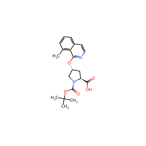 Cc1cccc2ccnc(O[C@@H]3C[C@@H](C(=O)O)N(C(=O)OC(C)(C)C)C3)c12